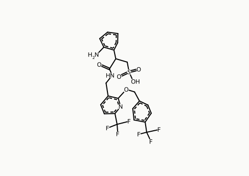 Nc1ccccc1C(CS(=O)(=O)O)C(=O)NCc1ccc(C(F)(F)F)nc1OCc1ccc(C(F)(F)F)cc1